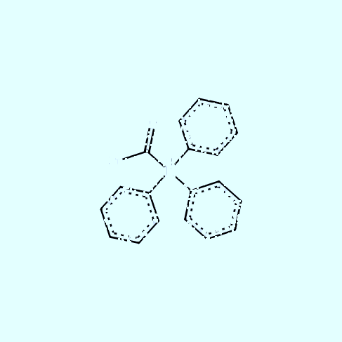 CC(C)C(=O)[PH](c1ccccc1)(c1ccccc1)c1ccccc1